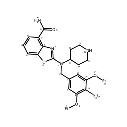 CCOc1cc(CN(c2nc3c(C(N)=O)[c]ccc3o2)C2CCNCC2)cc(OCC)c1N